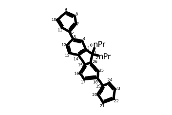 CCCC1(CCC)c2cc(-c3ccccc3)ccc2-c2ccc(-c3ccccc3)cc21